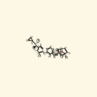 Cc1c(Oc2ccc(S(=O)(=O)C3CC3)cc2Cl)ncnc1O[C@@H]1CC2C=C[C@@H](C1)N2S(=O)(=O)C1CC1